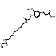 COC(=O)/C=C/c1ccc(OCC(=O)NCCOCCOCCNC(=O)OC(C)(C)C)c(OC)c1